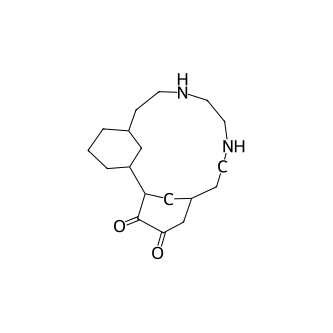 O=C1CC2CCNCCNCCC3CCCC(C3)C(C2)C1=O